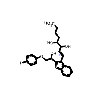 O=C(O)CCCC(O)C(O)/C=C/c1c(C(O)COc2ccc(F)cc2)sc2ccccc12